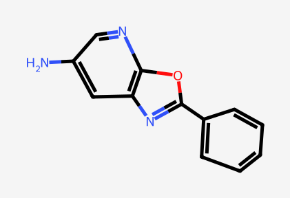 Nc1cnc2oc(-c3ccccc3)nc2c1